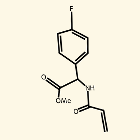 C=CC(=O)NC(C(=O)OC)c1ccc(F)cc1